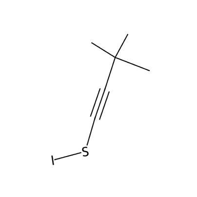 CC(C)(C)C#CSI